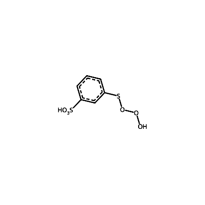 O=S(=O)(O)c1cccc(SOOO)c1